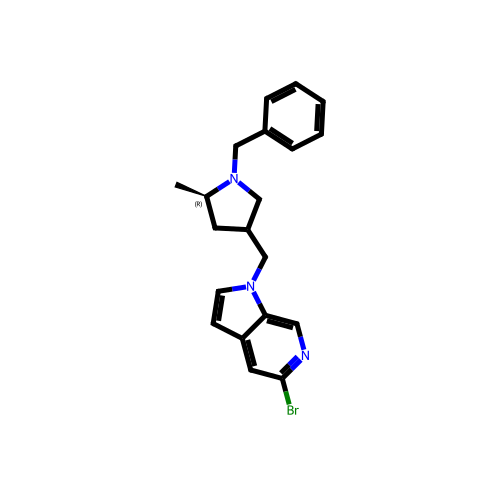 C[C@@H]1CC(Cn2ccc3cc(Br)ncc32)CN1Cc1ccccc1